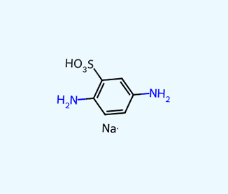 Nc1ccc(N)c(S(=O)(=O)O)c1.[Na]